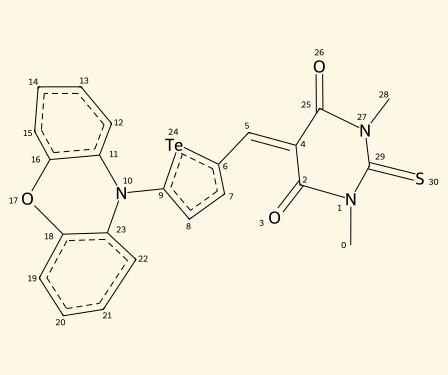 CN1C(=O)C(=Cc2ccc(N3c4ccccc4Oc4ccccc43)[te]2)C(=O)N(C)C1=S